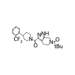 CC(C)(C)C(=O)N1CCc2c(C(=O)N3CCC(c4ccccc4C(F)(F)F)CC3)n[nH]c2C1